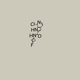 O=C(NC12CC(F)(C1)C2)c1cc2ccnc(Cl)c2[nH]1